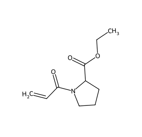 C=CC(=O)N1CCCC1C(=O)OCC